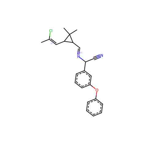 C/C(Cl)=C/C1C(/C=N/C(C#N)c2cccc(Oc3ccccc3)c2)C1(C)C